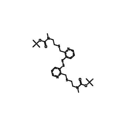 CN(CCSCc1ncccc1SSc1cccnc1CSCCN(C)C(=O)OC(C)(C)C)C(=O)OC(C)(C)C